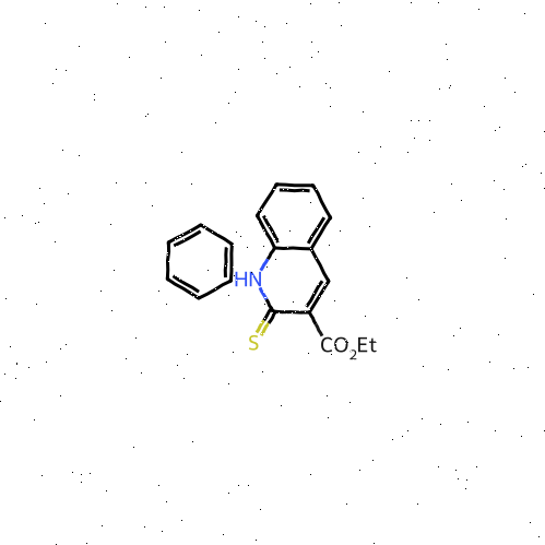 CCOC(=O)c1cc2ccccc2[nH]c1=S.c1ccccc1